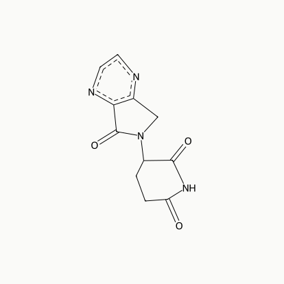 O=C1CCC(N2Cc3nccnc3C2=O)C(=O)N1